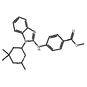 COC(=O)c1ccc(Nc2nc3ccccc3n2C2CC(C)CC(C)(C)C2)cc1